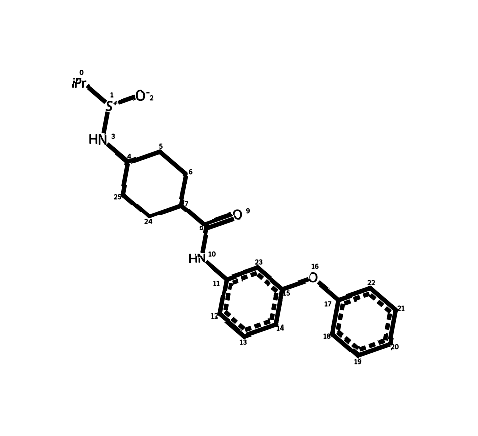 CC(C)[S+]([O-])NC1CCC(C(=O)Nc2cccc(Oc3ccccc3)c2)CC1